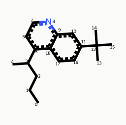 CCCC(C)c1ccnc2cc(C(C)(C)C)ccc12